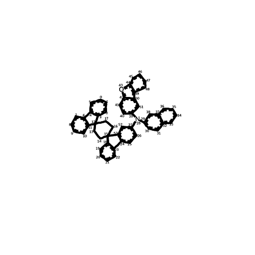 c1ccc2c(c1)-c1ccccc1C21CCC2(CC1)c1ccccc1-c1ccc(N(c3ccc4ccccc4c3)c3ccc4oc5ccccc5c4c3)cc12